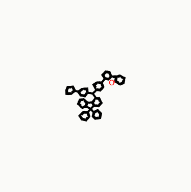 c1ccc(-c2ccc(C(c3ccc(-c4cccc5c4oc4ccccc45)cc3)c3cccc4c3-c3ccccc3C4(c3ccccc3)c3ccccc3)cc2)cc1